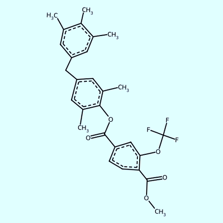 COC(=O)c1ccc(C(=O)Oc2c(C)cc(Cc3cc(C)c(C)c(C)c3)cc2C)cc1OC(F)(F)F